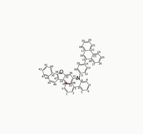 c1ccc(-c2ccccc2N(c2ccc(-c3cc4ccccc4c4ccccc34)cc2)c2ccc3c(c2)oc2c4ccccc4ccc32)cc1